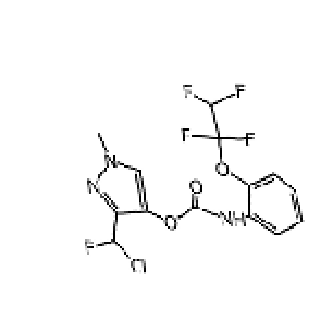 Cn1cc(OC(=O)Nc2ccccc2OC(F)(F)C(F)F)c(C(F)Cl)n1